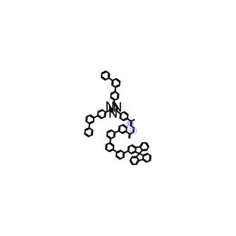 C=C(/C=C\C=C(/C)c1ccc(-c2nc(-c3ccc(-c4cccc(-c5ccccc5)c4)cc3)nc(-c3ccc(-c4cccc(-c5ccccc5)c4)cc3)n2)cc1)c1cccc(-c2cccc(-c3cccc(-c4cccc(-c5ccc6c(c5)C5(c7ccccc7-c7ccccc75)c5ccccc5-6)c4)c3)c2)c1